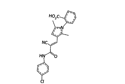 Cc1cc(/C=C(\C#N)C(=O)Nc2ccc(Cl)cc2)c(C)n1-c1ccccc1C(=O)O